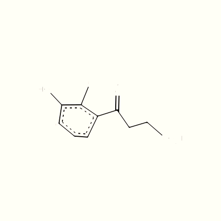 O=C(O)CCC(=O)c1cccc(O)c1Cl